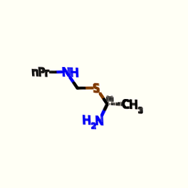 CCCNCS[C@H](C)N